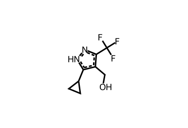 OCc1c(C(F)(F)F)n[nH]c1C1CC1